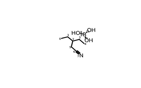 CCC(CC)CC#N.OB(O)O